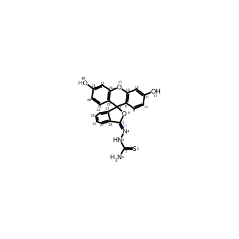 NC(=S)N/N=C1/OC2(c3ccc(O)cc3Oc3cc(O)ccc32)c2ccccc21